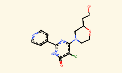 O=c1[nH]c(-c2ccncc2)nc(N2CCOC(CCO)C2)c1Cl